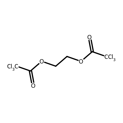 O=C(OCCOC(=O)C(Cl)(Cl)Cl)C(Cl)(Cl)Cl